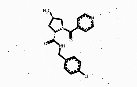 C[C@@H]1C[C@@H](C(=O)NCc2ccc(Cl)cc2)N(C(=O)c2ccncc2)C1